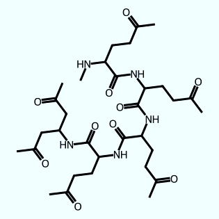 CNC(CCC(C)=O)C(=O)NC(CCC(C)=O)C(=O)NC(CCC(C)=O)C(=O)NC(CCC(C)=O)C(=O)NC(CC(C)=O)CC(C)=O